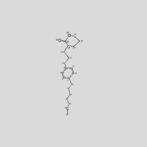 CCCCCCCc1ccc(CCCC2CCCOC2=O)cc1